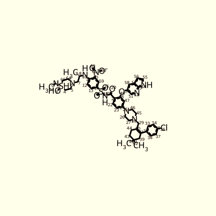 CN=[SH]1(O)CCN(C[C@H](C)Nc2ccc(S(=O)(=O)NC(=O)c3ccc(N4CCN(CC5=C(c6ccc(Cl)cc6)CC(C)(C)CC5)CC4)cc3Oc3cnc4[nH]ccc4c3)cc2[N+](=O)[O-])CC1